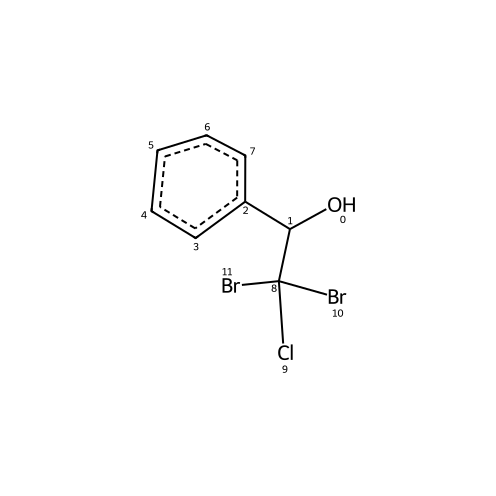 OC(c1ccccc1)C(Cl)(Br)Br